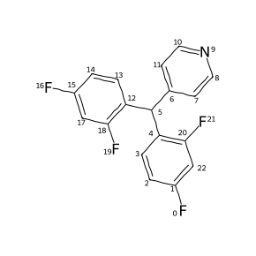 Fc1ccc(C(c2ccncc2)c2ccc(F)cc2F)c(F)c1